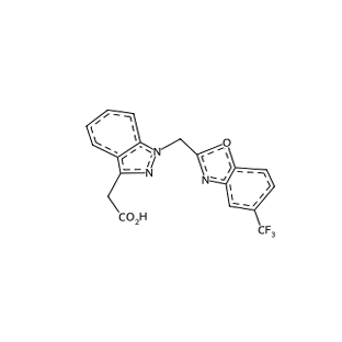 O=C(O)Cc1nn(Cc2nc3cc(C(F)(F)F)ccc3o2)c2ccccc12